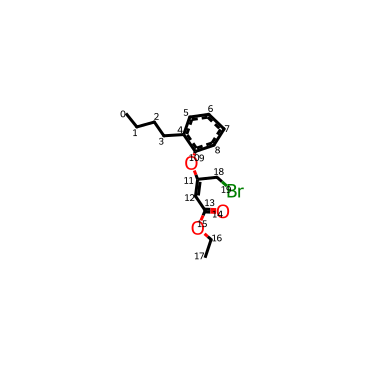 CCCCc1ccccc1OC(=CC(=O)OCC)CBr